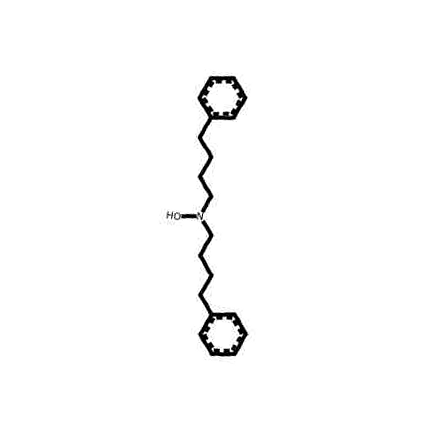 ON(CCCCc1ccccc1)CCCCc1ccccc1